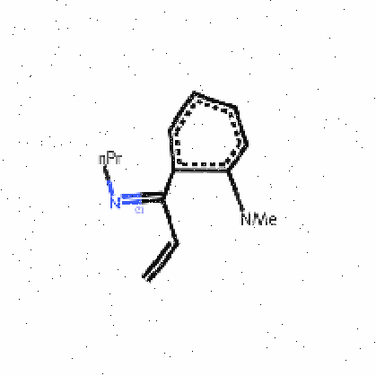 C=C/C(=N/CCC)c1ccccc1NC